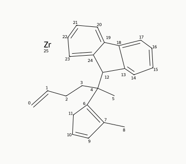 C=CCCC(C)(C1=C(C)C=CC1)C1c2ccccc2-c2ccccc21.[Zr]